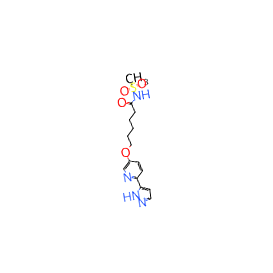 CS(=O)(=O)NC(=O)CCCCCOc1ccc(-c2ccn[nH]2)nc1